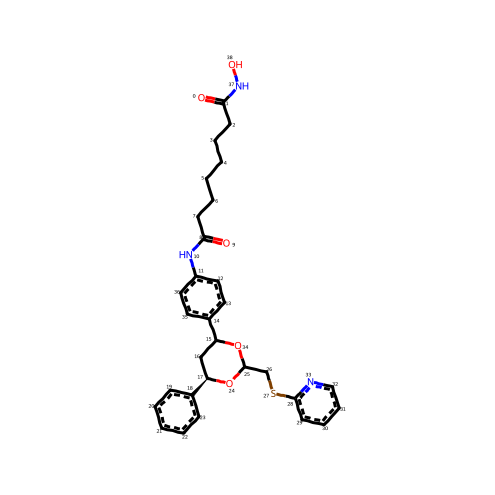 O=C(CCCCCCC(=O)Nc1ccc(C2C[C@H](c3ccccc3)OC(CSc3ccccn3)O2)cc1)NO